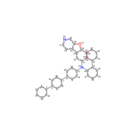 c1ccc(-c2ccc(-c3ccc(N(c4ccc5oc6cnccc6c5c4)c4ccccc4-c4ccccc4)cc3)cc2)cc1